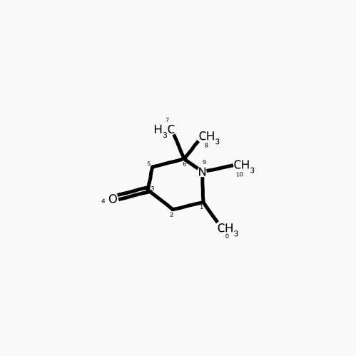 CC1CC(=O)CC(C)(C)N1C